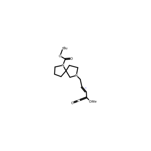 COC(=C=O)/C=C/CN1CCC2(CCCN2C(=O)OC(C)(C)C)C1